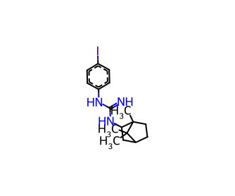 CC1(C)C2CCC1(C)C(NC(=N)Nc1ccc(I)cc1)C2